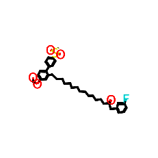 CS(=O)(=O)c1ccc(-c2cc3c(cc2CCCCCCCCCCCCCCC(=O)Cc2cccc(F)c2)OCO3)cc1